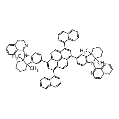 CC12CCCCC1(C)N(c1nccc3ccccc13)c1ccc(-c3cc(-c4cccc5ccccc45)c4ccc5c(-c6ccc7c(c6)C6(C)CCCCC6(C)N7c6nccc7ccccc67)cc(-c6cccc7ccccc67)c6ccc3c4c56)cc12